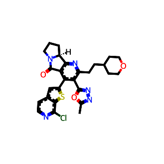 Cc1nnc(-c2c(CCC3CCOCC3)nc3c(c2-c2cc4ccnc(Cl)c4s2)C(=O)N2CCC[C@@H]32)o1